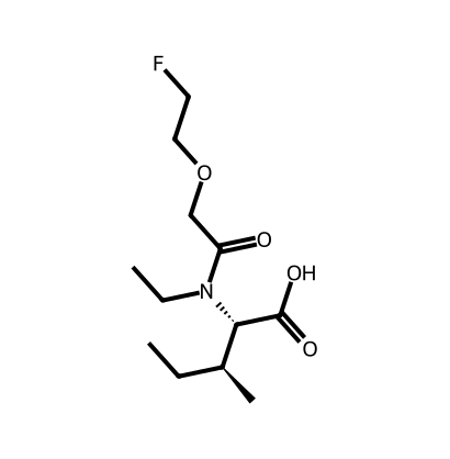 CC[C@H](C)[C@@H](C(=O)O)N(CC)C(=O)COCCF